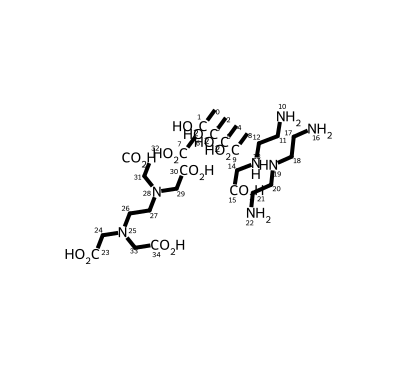 CC(=O)O.CC(=O)O.CC(=O)O.CC(=O)O.CC(=O)O.NCCNCC(=O)O.NCCNCCN.O=C(O)CN(CCN(CC(=O)O)CC(=O)O)CC(=O)O